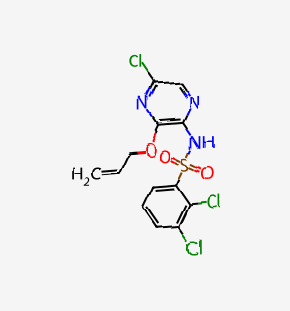 C=CCOc1nc(Cl)cnc1NS(=O)(=O)c1cccc(Cl)c1Cl